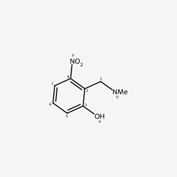 CNCc1c(O)cccc1[N+](=O)[O-]